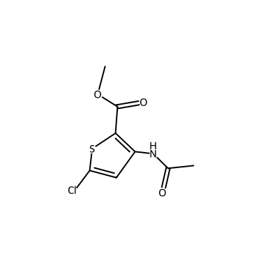 COC(=O)c1sc(Cl)cc1NC(C)=O